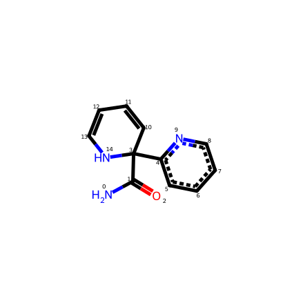 NC(=O)C1(c2ccccn2)C=CC=CN1